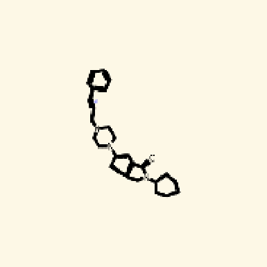 O=C1c2cc(N3CCN(C/C=C/c4ccccc4)CC3)ccc2CN1C1CCCCC1